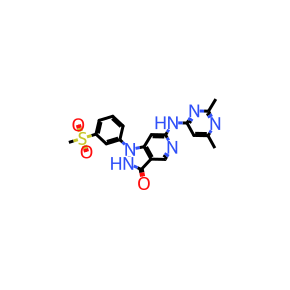 Cc1cc(Nc2cc3c(cn2)c(=O)[nH]n3-c2cccc(S(C)(=O)=O)c2)nc(C)n1